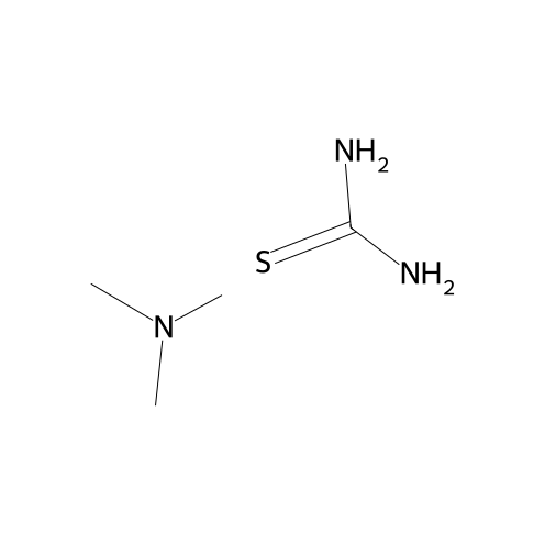 CN(C)C.NC(N)=S